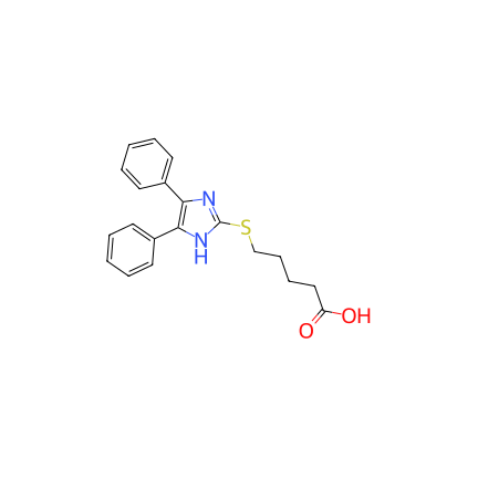 O=C(O)CCCCSc1nc(-c2ccccc2)c(-c2ccccc2)[nH]1